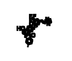 CC(C)N(c1cc(F)c(Oc2ncc(CCn3nccn3)cc2C(F)(F)F)cc1C(=O)O)C(=O)[C@H]1CC[C@H](C)CC1